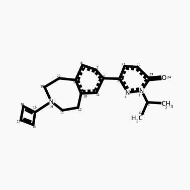 CC(C)n1nc(-c2ccc3c(c2)CCN(C2=CC=C2)CC3)ccc1=O